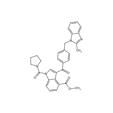 COC(=O)c1cccc2c1c(C(=O)c1ccc(Cn3c(C)nc4ccccc43)cc1)cn2C(=O)N1CCCC1